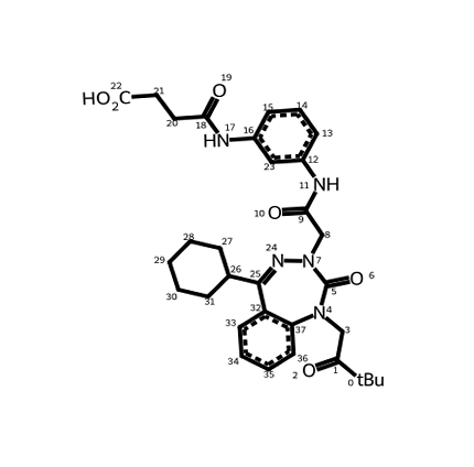 CC(C)(C)C(=O)CN1C(=O)N(CC(=O)Nc2cccc(NC(=O)CCC(=O)O)c2)N=C(C2CCCCC2)c2ccccc21